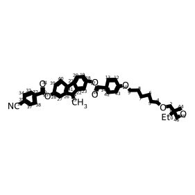 CCC1(COCCCCCCOc2ccc(C(=O)Oc3ccc4c(c3)C(C)c3cc(OC(=O)c5ccc(C#N)cc5)ccc3-4)cc2)COC1